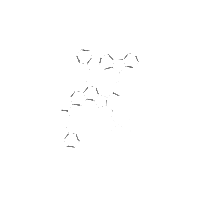 CC(C)(C)[Si](C)(C)OCC1Cc2c(cc(OCc3ccccc3)c3ccc(C(=O)OCc4ccccc4)cc23)N1C(=O)OCC1c2ccccc2-c2ccccc21